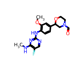 CNc1nc(Nc2ccc(C3CN(C=O)CCO3)cc2OC)ncc1F